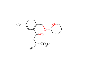 CCCc1ccc(COC2CCCCO2)c(C(=O)CC(CCC)C(=O)O)c1